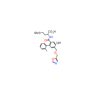 CSCCC(NC(=O)c1ccc(COCc2cnco2)cc1-c1ccccc1C)C(=O)O.[LiH]